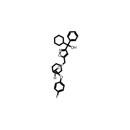 OC(c1ccccc1)(c1cc(C[N+]23CCC(CC2)[C@@H](Oc2ccc(F)cc2)C3)on1)C1CCCCC1